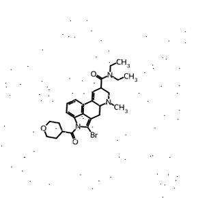 CCN(CC)C(=O)C1C=C2c3cccc4c3c(c(Br)n4C(=O)C3CCOCC3)CC2N(C)C1